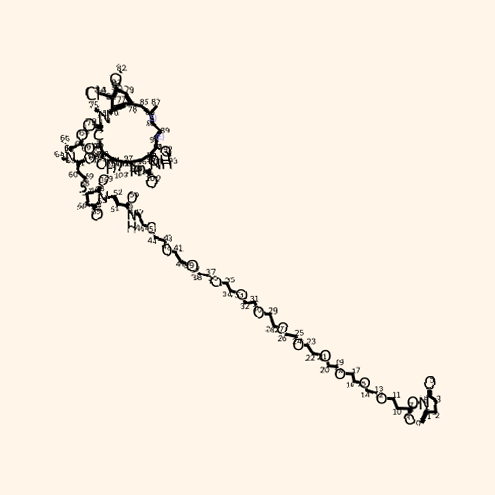 C=C1CCC(=O)N1OC(=O)CCOCCOCCOCCOCCOCCOCCOCCOCCOCCOCCOCCOCCNC(=O)CCN1C(=O)CC(SCCC(=O)N(C)[C@H](C)C(=O)O[C@H]2CC(=O)N(C)c3cc(cc(OC)c3Cl)C/C(C)=C/C=C/[C@@H](OC)[C@@]3(O)C[C@H](OC(=O)N3)[C@@H](C)[C@@H]3O[C@@]23C)C1=O